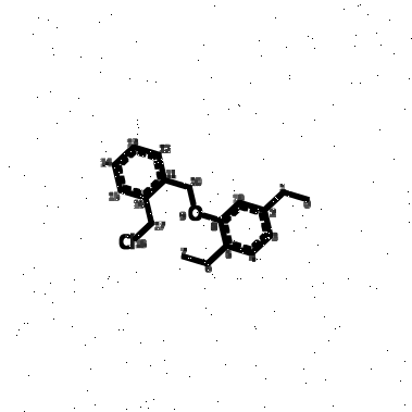 CCc1ccc(CC)c(OCc2ccccc2CCl)c1